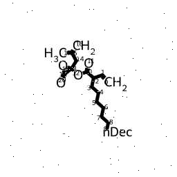 C=CC(CCCCCCCCCCCCCCCC)C(=O)OC1(CC(=C)C)OC1=O